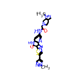 Cn1cc(-c2cn3nc4c5ncc(NC(=O)CN6CCc7cnn(C)c7C6)cc5[nH]c(=O)c4c3s2)cn1